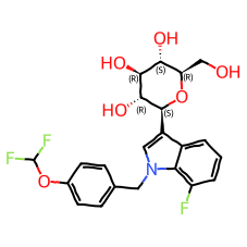 OC[C@H]1O[C@@H](c2cn(Cc3ccc(OC(F)F)cc3)c3c(F)cccc23)[C@H](O)[C@@H](O)[C@@H]1O